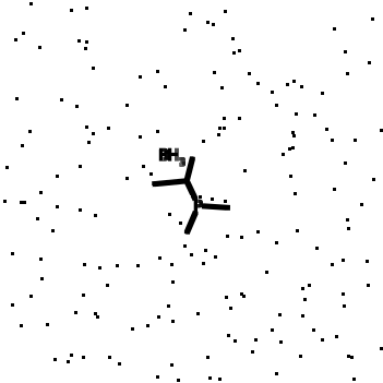 B.CC(C)P(C)C